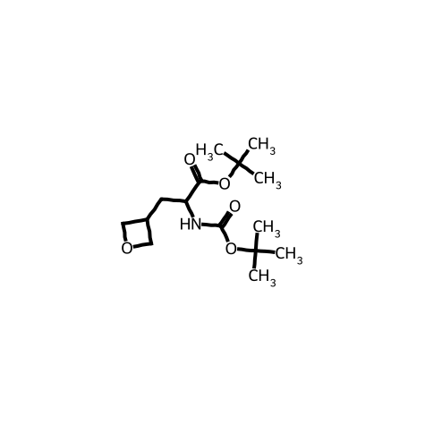 CC(C)(C)OC(=O)NC(CC1COC1)C(=O)OC(C)(C)C